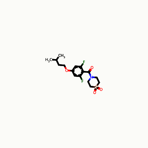 CC(C)CCOc1cc(F)c(C(=O)N2CCS(=O)(=O)CC2)c(F)c1